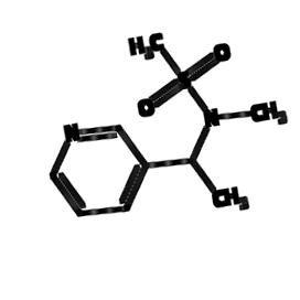 CC(c1cccnc1)N(C)S(C)(=O)=O